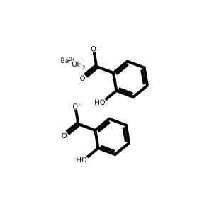 O.O=C([O-])c1ccccc1O.O=C([O-])c1ccccc1O.[Ba+2]